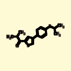 CC(C)Sc1ccc(-c2csc(C(=O)C(C)C)c2)cc1